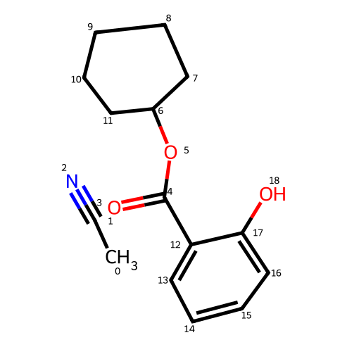 CC#N.O=C(OC1CCCCC1)c1ccccc1O